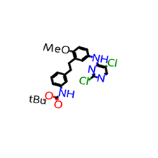 COc1ccc(Nc2nc(Cl)ncc2Cl)cc1CCc1cccc(NC(=O)OC(C)(C)C)c1